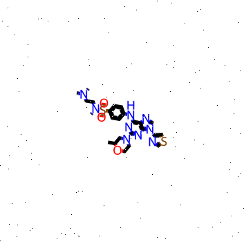 CC1CN(c2nc(Nc3ccc(S(=O)(=O)N(C)CCN(C)C)cc3)c3ncn(-c4cscn4)c3n2)CCO1